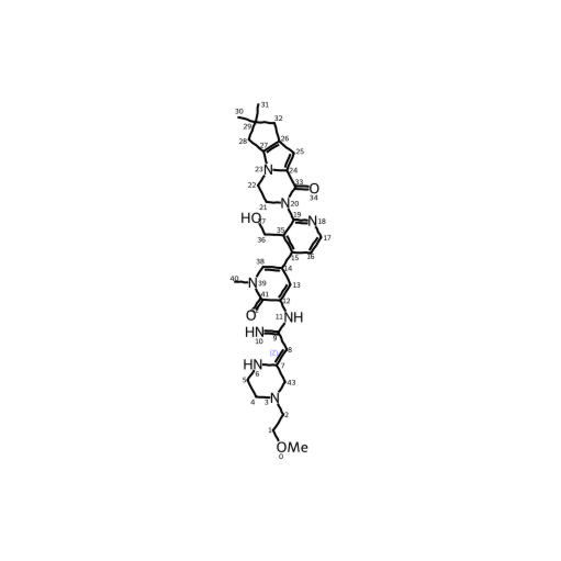 COCCN1CCN/C(=C\C(=N)Nc2cc(-c3ccnc(N4CCn5c(cc6c5CC(C)(C)C6)C4=O)c3CO)cn(C)c2=O)C1